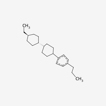 CCCc1ccc(C2CCC([C@H]3CC[C@H](CC)CC3)CC2)cc1